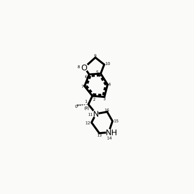 C[C@H](c1ccc2c(c1)OCC2)N1CCNCC1